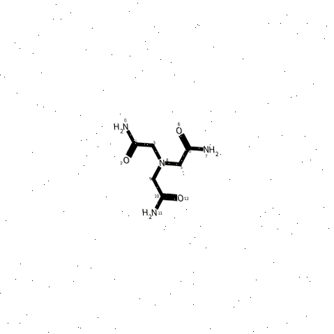 NC(=O)CN(CC(N)=O)CC(N)=O